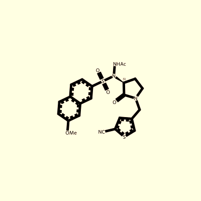 COc1ccc2ccc(S(=O)(=O)N(NC(C)=O)[C@H]3CCN(Cc4csc(C#N)c4)C3=O)cc2c1